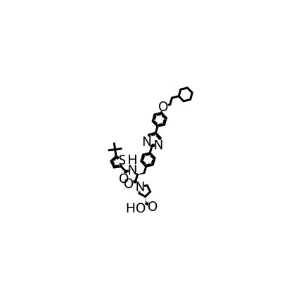 CC(C)(C)c1ccc(C(=O)N[C@@H](Cc2ccc(-c3ncc(-c4ccc(OCCC5CCCCC5)cc4)cn3)cc2)C(=O)N2CC[C@H](C(=O)O)C2)s1